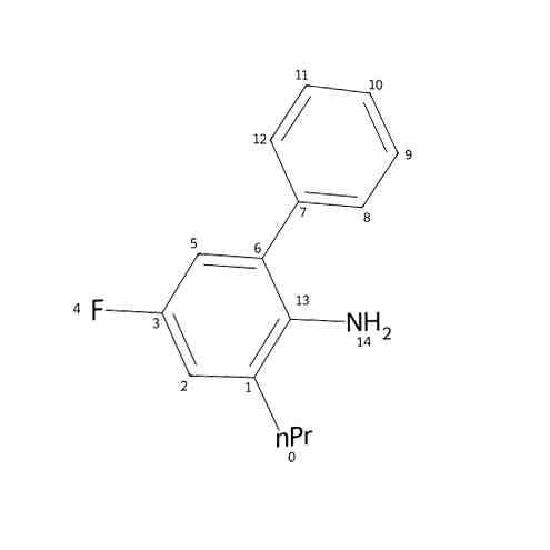 CCCc1cc(F)cc(-c2ccccc2)c1N